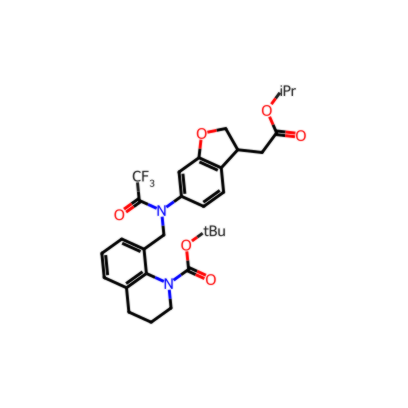 CC(C)OC(=O)CC1COc2cc(N(Cc3cccc4c3N(C(=O)OC(C)(C)C)CCC4)C(=O)C(F)(F)F)ccc21